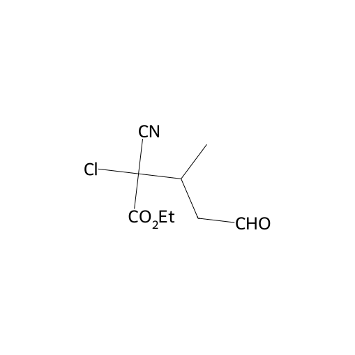 CCOC(=O)C(Cl)(C#N)C(C)CC=O